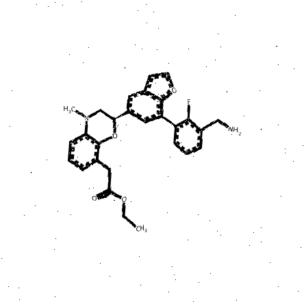 CCOC(=O)Cc1cccc2c1O[C@H](c1cc(-c3cccc(CN)c3F)c3occc3c1)CN2C